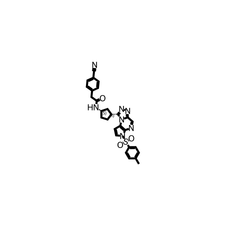 Cc1ccc(S(=O)(=O)n2ccc3c2ncc2nnc([C@@H]4CC[C@H](NC(=O)Cc5ccc(C#N)cc5)C4)n23)cc1